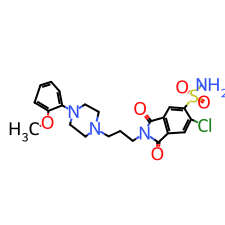 COc1ccccc1N1CCN(CCCN2C(=O)c3cc(Cl)c(S(N)(=O)=O)cc3C2=O)CC1